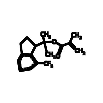 C=C(C)C(=O)OC(C)(C)C1CCc2cccc(C(F)(F)F)c21